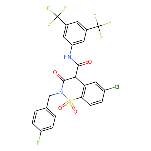 O=C(Nc1cc(C(F)(F)F)cc(C(F)(F)F)c1)C1C(=O)N(Cc2ccc(F)cc2)S(=O)(=O)c2ccc(Cl)cc21